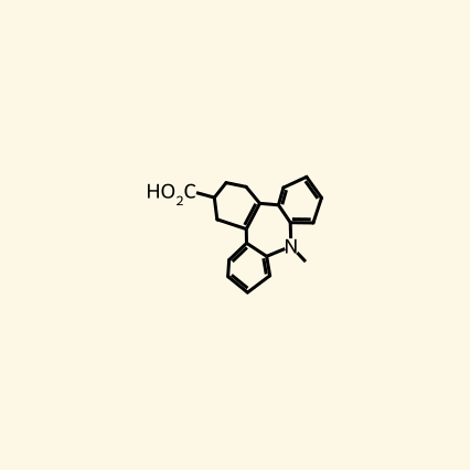 CN1c2ccccc2C2=C(CC(C(=O)O)CC2)c2ccccc21